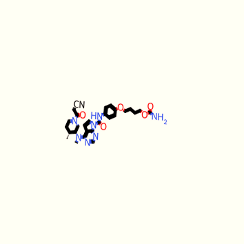 C[C@@H]1CCN(C(=O)CC#N)C[C@@H]1N(C)c1ncnc2c1ccn2C(=O)Nc1ccc(OCCCCOC(N)=O)cc1